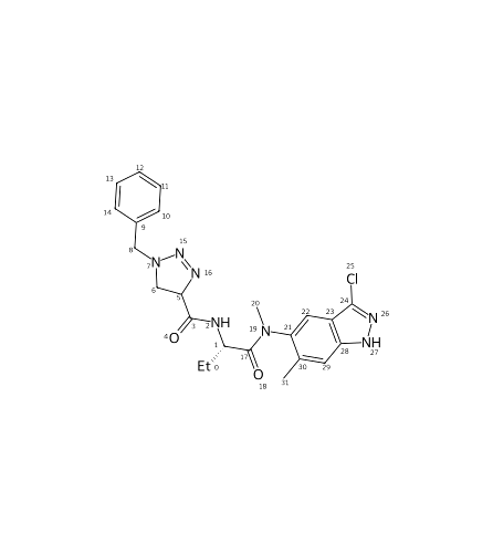 CC[C@H](NC(=O)C1CN(Cc2ccccc2)N=N1)C(=O)N(C)c1cc2c(Cl)n[nH]c2cc1C